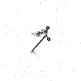 CCCCCCCCCCCCCCCCCCOC[C@@H](COP(=O)(CO[C@H](CC)Cn1cnc2c(C)ncnc21)OCc1ccccc1)OCc1ccccc1